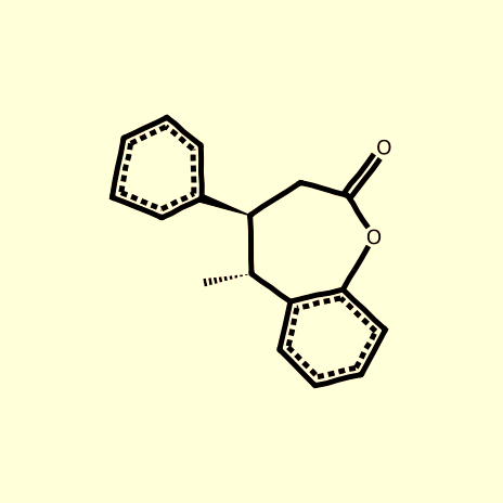 C[C@H]1c2ccccc2OC(=O)C[C@@H]1c1ccccc1